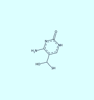 Nc1nc(=O)[nH]cc1C(O)S